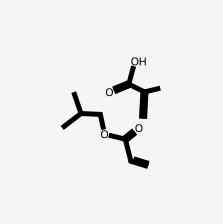 C=C(C)C(=O)O.C=CC(=O)OCC(C)C